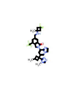 CC1CC(c2cc(N3Cc4c(cc(CNC5(C)CC(F)(F)C5)cc4C(F)(F)F)C3=O)c3nccn3c2)(c2nncn2C)C1